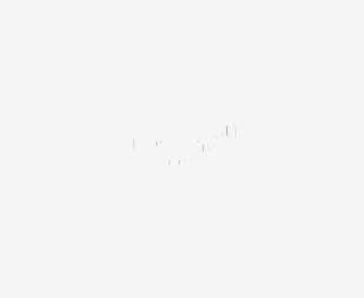 [BiH3].[O-2].[TeH2].[Zn+2]